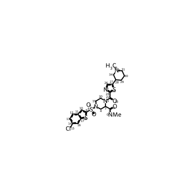 CNC(=O)C1CN(S(=O)(=O)c2cc3ccc(Cl)cc3s2)CCN1C(=O)c1ncc(C2CCCN(C)C2)s1